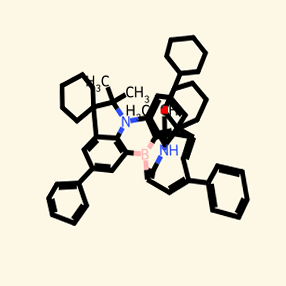 CC1(C)N/C=C2/C=C(c3ccccc3)\C=C(/c3cc(C4CCCCC4)cc4c3B2c2cc(-c3ccccc3)cc3c2N4C(C)(C)C32CCCCC2)C12CCCCC2